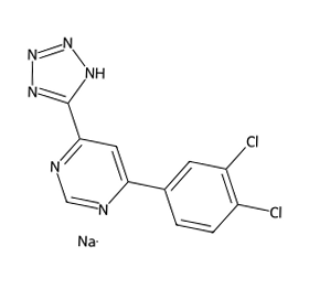 Clc1ccc(-c2cc(-c3nnn[nH]3)ncn2)cc1Cl.[Na]